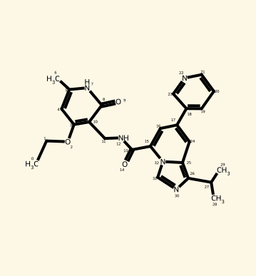 CCOc1cc(C)[nH]c(=O)c1CNC(=O)c1cc(-c2cccnc2)cc2c(C(C)C)ncn12